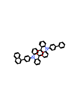 c1ccc(N(c2ccccc2)c2ccc(-c3ccccc3)cc2)c(-c2c#cc(-c3ccccc3N(c3ccccc3)c3ccc(-c4cccc5ccccc45)cc3)cc2)c#1